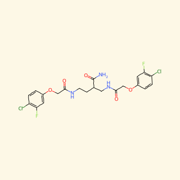 NC(=O)C(CCNC(=O)COc1ccc(Cl)c(F)c1)CNC(=O)COc1ccc(Cl)c(F)c1